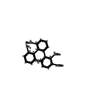 COc1cccc(-c2cccc(OC)c2-c2c(P)cccc2OC)c1OC